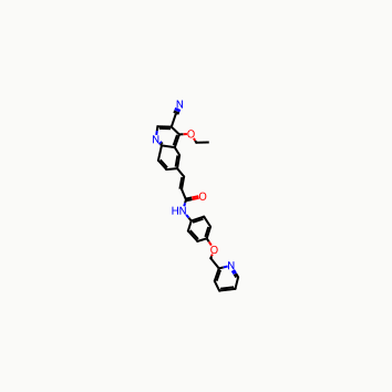 CCOc1c(C#N)cnc2ccc(C=CC(=O)Nc3ccc(OCc4ccccn4)cc3)cc12